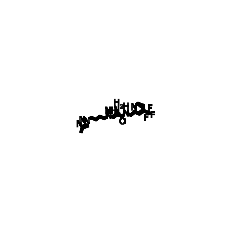 Cc1cn(CCCCN(N)/C=C(\N)C(=O)NCc2cc(C(F)(F)F)ccn2)nn1